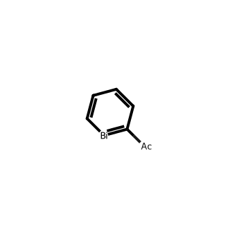 CC(=O)[C]1=[Bi][CH]=CC=C1